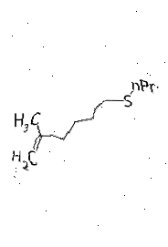 C=C(C)CCCCS[CH]CC